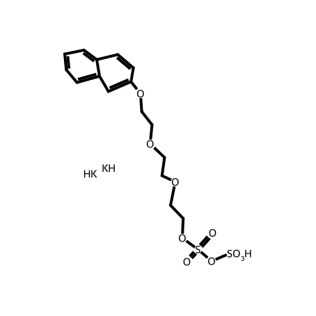 O=S(=O)(O)OS(=O)(=O)OCCOCCOCCOc1ccc2ccccc2c1.[KH].[KH]